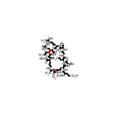 CC[C@H](C)[C@H](NC(=O)[C@H](CCCNC(=N)N)NC(=O)[C@H](CCC(=O)O)NC(C)=O)C(=O)N[C@@H](CCC(=O)O)C(=O)NCC(=O)N[C@@H](CC(C)C)C(=O)N[C@@H](CCCNC(=N)N)C(=O)N[C@@H](CCCCN)C(=O)N[C@@H](CCCNC(=N)N)C(=O)N[C@@H](CCCNC(=N)N)C(=O)NC